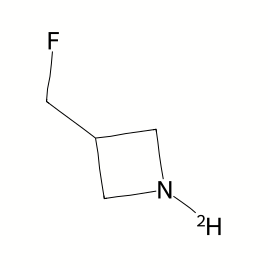 [2H]N1CC(CF)C1